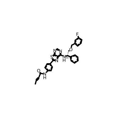 CC#CC(=O)Nc1ccc(-c2nc3c(N[C@H](COCc4cccc(F)c4)c4ccccc4)ncnc3s2)cc1